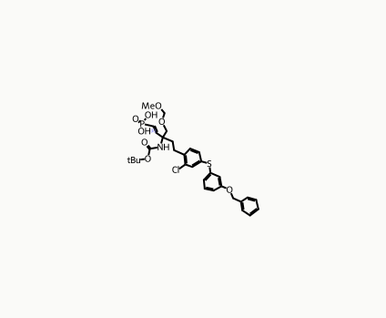 COCOCC(/C=C/P(=O)(O)O)(CCc1ccc(Sc2cccc(OCc3ccccc3)c2)cc1Cl)NC(=O)OC(C)(C)C